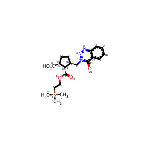 CS(C)(C)CCOC(=O)[C@H]1[C@H](Cn2nnc3ccccc3c2=O)CC[C@@H]1C(=O)O